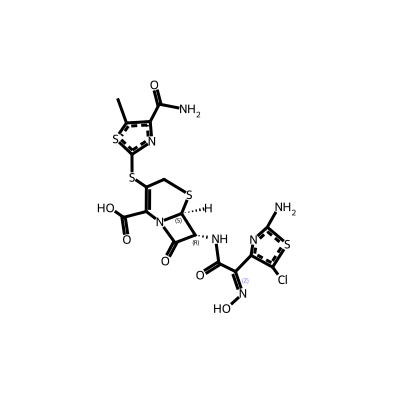 Cc1sc(SC2=C(C(=O)O)N3C(=O)[C@@H](NC(=O)/C(=N\O)c4nc(N)sc4Cl)[C@@H]3SC2)nc1C(N)=O